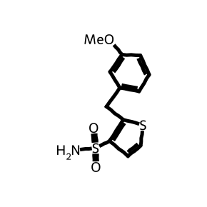 COc1cccc(Cc2sccc2S(N)(=O)=O)c1